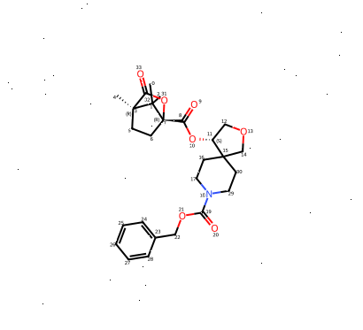 CC1(C)[C@@]2(C)CC[C@@]1(C(=O)O[C@@H]1COCC13CCN(C(=O)OCc1ccccc1)CC3)OC2=O